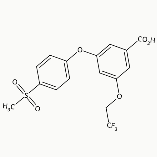 CS(=O)(=O)c1ccc(Oc2cc(OCC(F)(F)F)cc(C(=O)O)c2)cc1